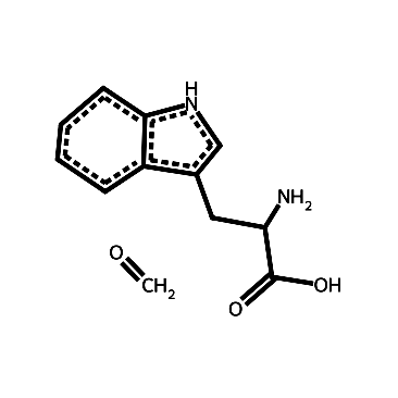 C=O.NC(Cc1c[nH]c2ccccc12)C(=O)O